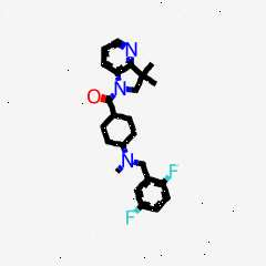 CN(Cc1cc(F)ccc1F)C1CCC(C(=O)N2CC(C)(C)c3ncccc32)CC1